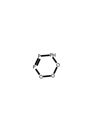 o1opp[pH]o1